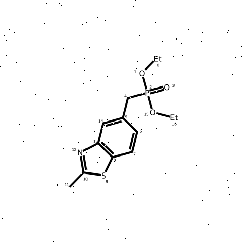 CCOP(=O)(Cc1ccc2sc(C)nc2c1)OCC